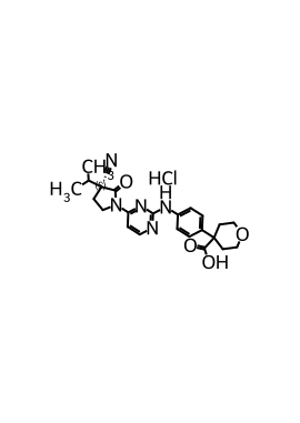 CC(C)[C@]1(C#N)CCN(c2ccnc(Nc3ccc(C4(C(=O)O)CCOCC4)cc3)n2)C1=O.Cl